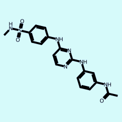 CNS(=O)(=O)c1ccc(Nc2ccnc(Nc3cccc(NC(C)=O)c3)n2)cc1